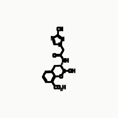 N#Cc1ncn(CC(=O)N[C@H]2Cc3cccc(C(=O)O)c3OB2O)n1